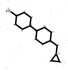 SC1CCC(C2CCC(CC3CC3)CC2)CC1